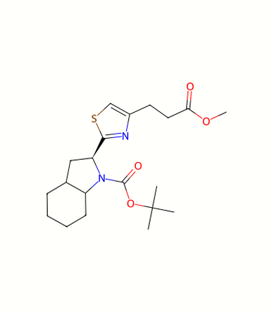 COC(=O)CCc1csc([C@@H]2CC3CCCCC3N2C(=O)OC(C)(C)C)n1